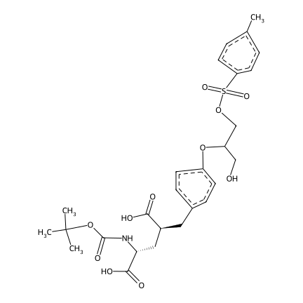 Cc1ccc(S(=O)(=O)OCC(CO)Oc2ccc(C[C@@H](C[C@@H](NC(=O)OC(C)(C)C)C(=O)O)C(=O)O)cc2)cc1